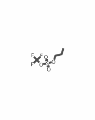 CCCOS(=O)(=O)OC(F)(F)F